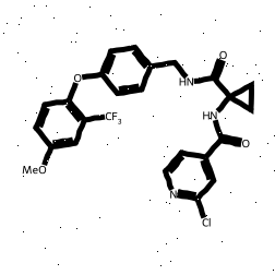 COc1ccc(Oc2ccc(CNC(=O)C3(NC(=O)c4ccnc(Cl)c4)CC3)cc2)c(C(F)(F)F)c1